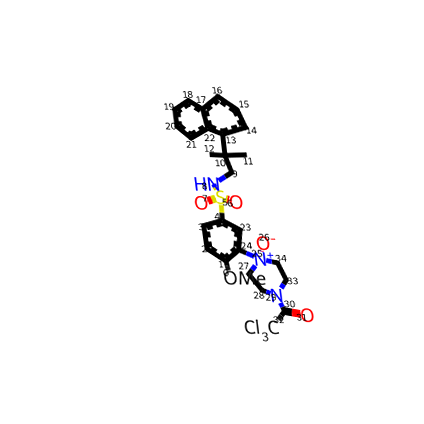 COc1ccc(S(=O)(=O)NCC(C)(C)c2cccc3ccccc23)cc1[N+]1([O-])CCN(C(=O)C(Cl)(Cl)Cl)CC1